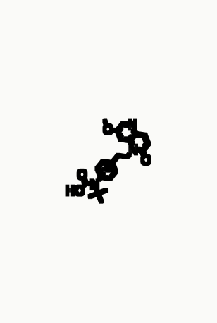 COc1cnc2ccc(=O)n(CCC34CCC(N(C(=O)O)C(C)(C)C)(CC3)CO4)c2c1